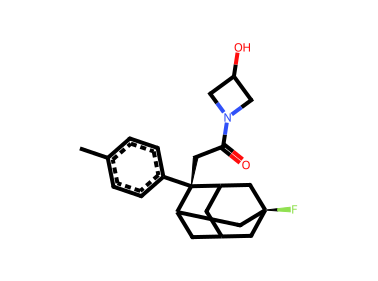 Cc1ccc([C@]2(CC(=O)N3CC(O)C3)C3CC4CC2C[C@@](F)(C4)C3)cc1